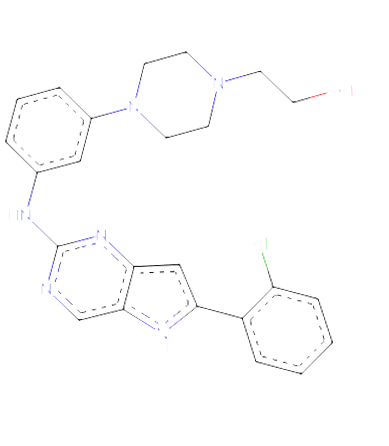 OCCN1CCN(c2cccc(Nc3ncc4[nH]c(-c5ccccc5Cl)cc4n3)c2)CC1